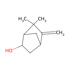 C=C1C2CC(O)C(C2)C1(C)C